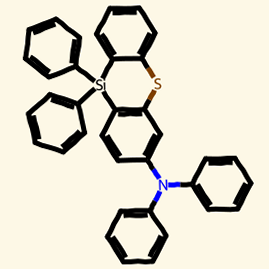 c1ccc(N(c2ccccc2)c2ccc3c(c2)Sc2ccccc2[Si]3(c2ccccc2)c2ccccc2)cc1